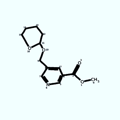 COC(=O)c1cncc(COC2CCCCO2)c1